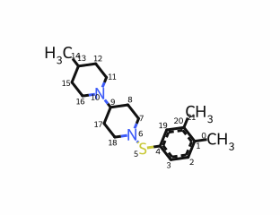 Cc1ccc(SN2CCC(N3CCC(C)CC3)CC2)cc1C